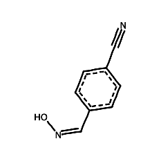 N#Cc1ccc(/C=N\O)cc1